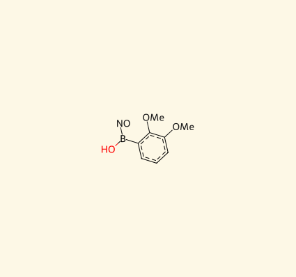 COc1cccc(B(O)N=O)c1OC